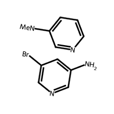 CNc1cccnc1.Nc1cncc(Br)c1